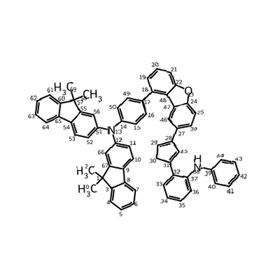 CC1(C)c2ccccc2-c2ccc(N(c3ccc(-c4cccc5oc6ccc(C7=CCC(c8ccccc8Nc8ccccc8)=C7)cc6c45)cc3)c3ccc4c(c3)C(C)(C)c3ccccc3-4)cc21